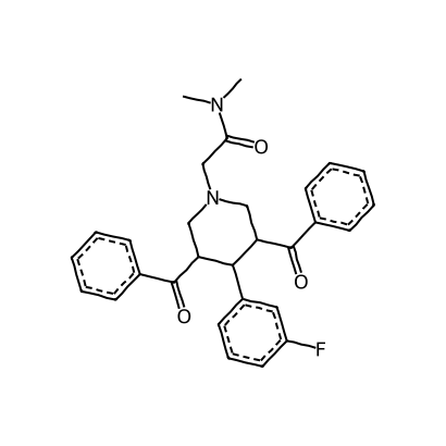 CN(C)C(=O)CN1CC(C(=O)c2ccccc2)C(c2cccc(F)c2)C(C(=O)c2ccccc2)C1